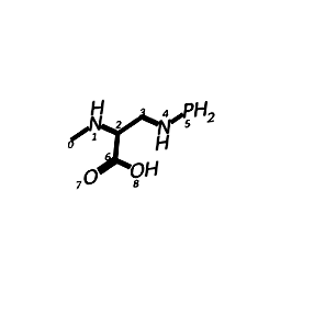 CNC(CNP)C(=O)O